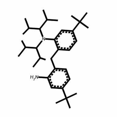 CC(C)C(C(C)C)N(c1cc(C(C)(C)C)ccc1Cc1ccc(C(C)(C)C)cc1N)C(C(C)C)C(C)C